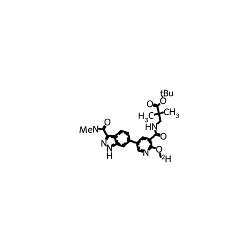 [2H]COc1ncc(-c2ccc3c(C(=O)NC)n[nH]c3c2)cc1C(=O)NCC(C)(C)C(=O)OC(C)(C)C